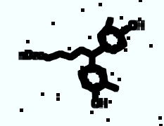 CCCCCCCCCCCCCCC(c1ccc(O)c(C)c1)c1ccc(O)c(C)c1